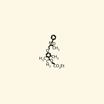 CCOC(=O)/C=C/OC(C)c1c(C)cc(OCCc2nc(-c3ccccc3)oc2C)cc1C